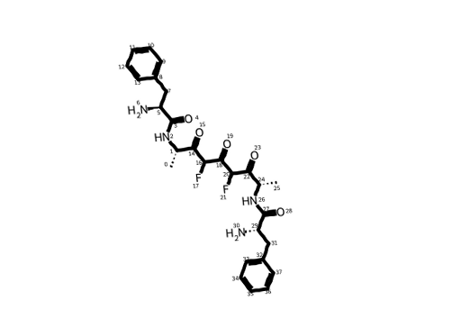 C[C@H](NC(=O)[C@@H](N)Cc1ccccc1)C(=O)C(F)C(=O)C(F)C(=O)[C@H](C)NC(=O)[C@@H](N)Cc1ccccc1